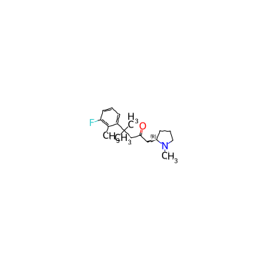 Cc1c(F)cccc1C(C)(C)CC(=O)C[C@H]1CCCN1C